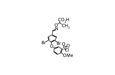 COc1ccc(Oc2c(Br)cc(C=NOC(C)C(=O)O)cc2Br)cc1S(=O)(=O)Cl